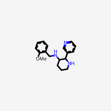 COc1ccccc1CNC1CCCNC1c1cccnc1